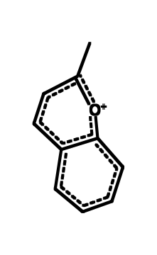 Cc1ccc2ccccc2[o+]1